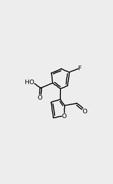 O=Cc1occc1-c1cc(F)ccc1C(=O)O